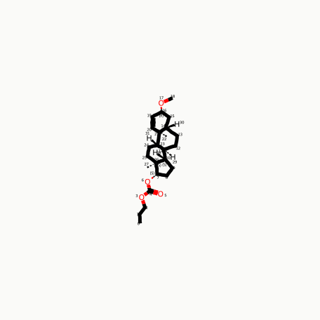 CCCOC(=O)O[C@H]1CC[C@H]2[C@@H]3CC[C@H]4C[C@@H](OC)C=C[C@]4(C)[C@H]3CC[C@]12C